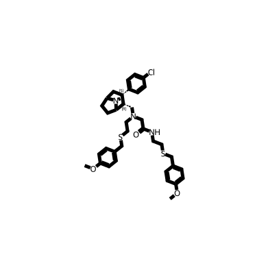 COc1ccc(CSCCNC(=O)CN(CCSCc2ccc(OC)cc2)C[C@@H]2C3CCC(C[C@@H]2c2ccc(Cl)cc2)N3C)cc1